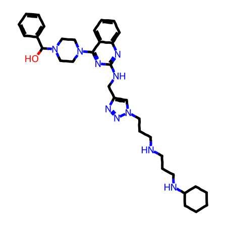 OC(c1ccccc1)N1CCN(c2nc(NCc3cn(CCCNCCCNC4CCCCC4)nn3)nc3ccccc23)CC1